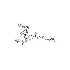 COCCOCCOC(=O)C1CCN(C(=O)[C@H](CC(C)C)N2CCN[C@@H](CC(C)C)C2=O)CC1